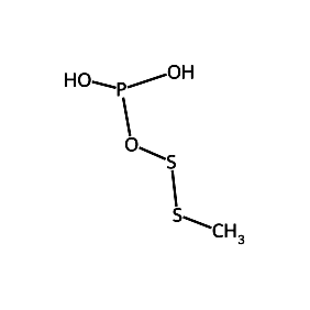 CSSOP(O)O